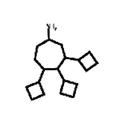 NC1CCC(C2CCC2)C(C2CCC2)C(C2CCC2)C1